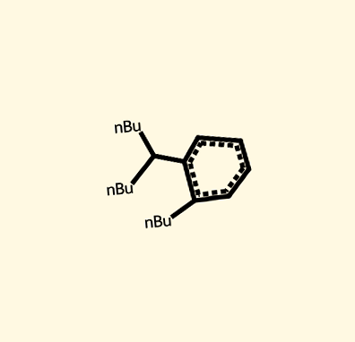 CCCC[C](CCCC)c1ccccc1CCCC